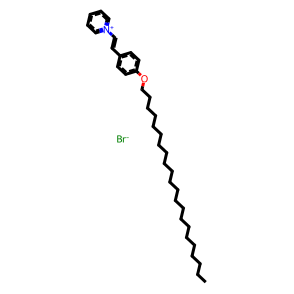 CCCCCCCCCCCCCCCCCCCCCCOc1ccc(C=C[n+]2ccccc2)cc1.[Br-]